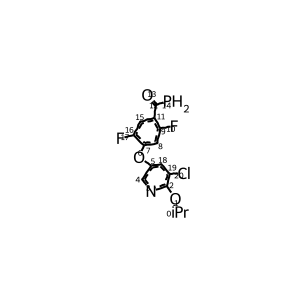 CC(C)Oc1ncc(Oc2cc(F)c(C(=O)P)cc2F)cc1Cl